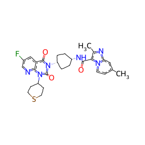 Cc1ccn2c(C(=O)N[C@H]3CC[C@@H](n4c(=O)c5cc(F)cnc5n(C5CCSCC5)c4=O)CC3)c(C)nc2c1